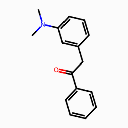 CN(C)c1cccc(CC(=O)c2ccccc2)c1